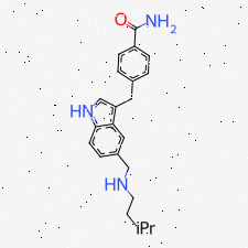 CC(C)CCNCc1ccc2[nH]cc(Cc3ccc(C(N)=O)cc3)c2c1